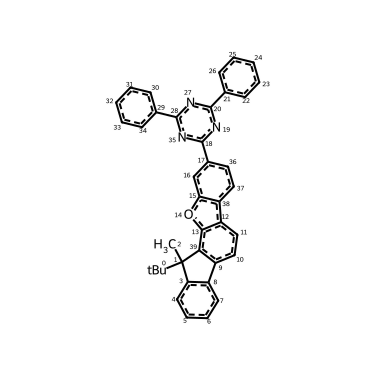 CC(C)(C)C1(C)c2ccccc2-c2ccc3c(oc4cc(-c5nc(-c6ccccc6)nc(-c6ccccc6)n5)ccc43)c21